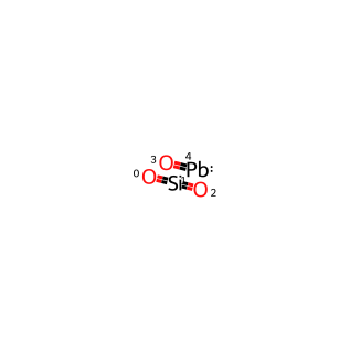 O=[Si]=O.[O]=[Pb]